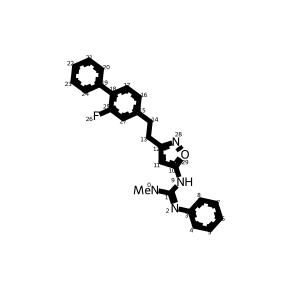 CNC(=Nc1ccccc1)Nc1cc(CCc2ccc(-c3ccccc3)c(F)c2)no1